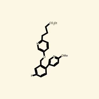 CCOC(=O)CCCc1ccc(OCc2cc(F)ccc2-c2ccc(OC)nc2)cn1